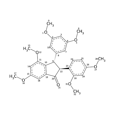 COc1cc(OC)cc([C@H]2c3c(OC)cc(OC)cc3C(=O)[C@@H]2c2ccc(OC)cc2OC)c1